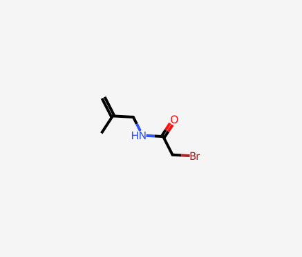 C=C(C)CNC(=O)CBr